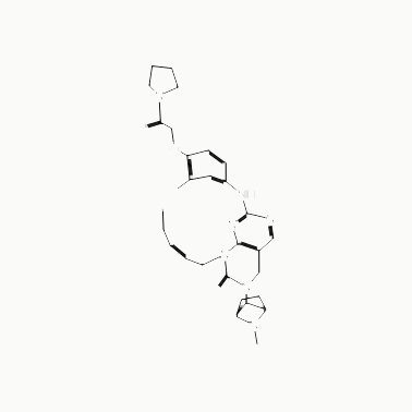 CN1C2CCC1C2N1Cc2cnc3nc2N(C/C=C\COCc2cc(ccc2OCC(=O)N2CCCC2)N3)C1=O